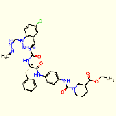 C=N/N=C\N(N)c1ccc(Cl)cc1/C=C/C(=O)N[C@@H](Cc1ccccc1)C(=O)Nc1ccc(NC(=O)N2CCCC(C(=O)OCC)C2)cc1